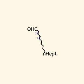 CCCCCCCCCCC=C/C=C/C=C/C=O